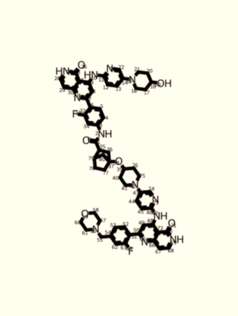 O=C(Nc1ccc(-c2cc(Nc3ccc(N4CCC(O)CC4)cn3)c3c(=O)[nH]ccc3n2)c(F)c1)C1CC2(OC3CCN(c4ccc(Nc5cc(-c6ccc(CN7CCOCC7)cc6F)nc6cc[nH]c(=O)c56)nc4)CC3)CCC1C2